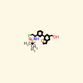 CC(C)(C)[S@@+]([O-])NC(CF)c1cccc(-c2cc(CO)cc3ccoc23)c1